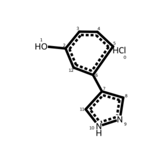 Cl.Oc1cccc(-c2cn[nH]c2)c1